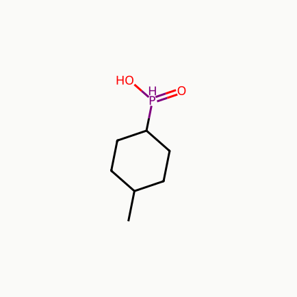 CC1CCC([PH](=O)O)CC1